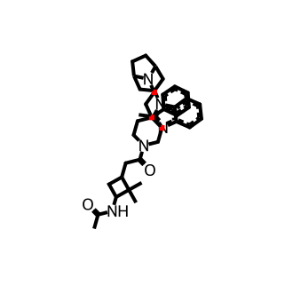 CC(=O)NC1CC(CC(=O)N2CCC(CCN3C4CCC3CC(n3c(C)nc5ccccc53)C4)(c3ccccc3)CC2)C1(C)C